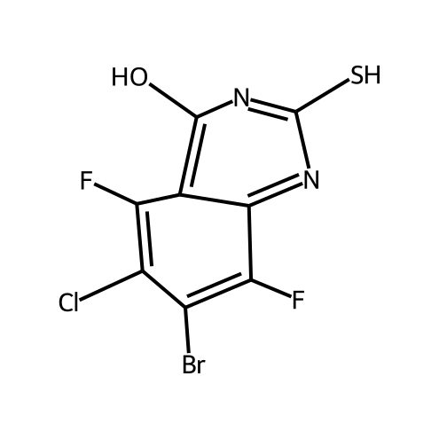 Oc1nc(S)nc2c(F)c(Br)c(Cl)c(F)c12